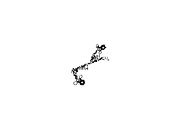 CCCNCCCN(CCNCCCNCc1cn(CCCN2C(=O)c3ccccc3C2=O)nn1)Cc1cn(CCCN2C(=O)c3ccccc3C2=O)nn1